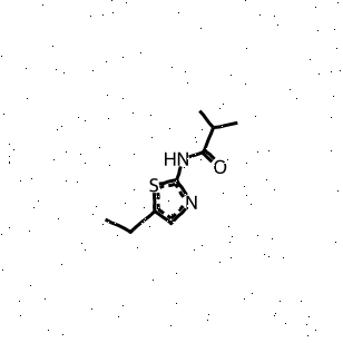 CCc1cnc(NC(=O)C(C)C)s1